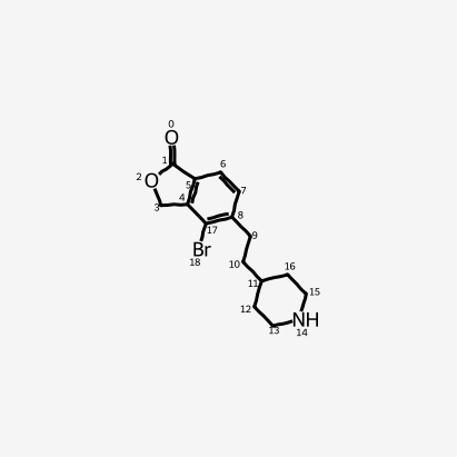 O=C1OCc2c1ccc(CCC1CCNCC1)c2Br